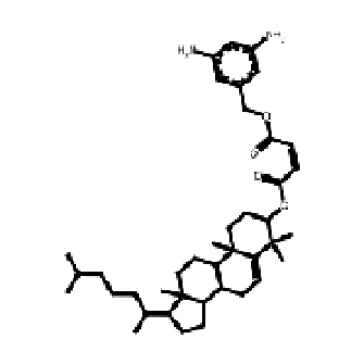 CC(C)CCCC(C)C1CCC2C3CC=C4C(C)(C)C(OC(=O)/C=C\C(=O)OCc5cc(N)cc(N)c5)CCC4(C)C3CCC12C